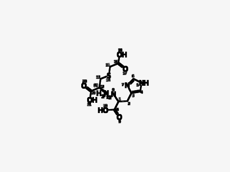 NC(Cc1c[nH]cn1)C(=O)O.N[C@H](CSCC(=O)O)C(=O)O